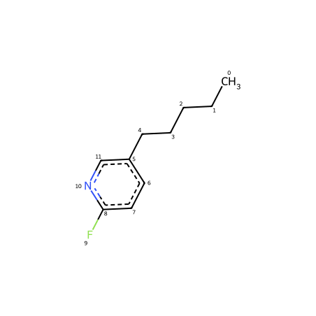 CCCCCc1ccc(F)nc1